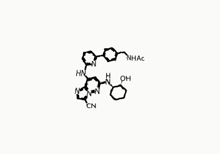 CC(=O)NCc1ccc(-c2cccc(Nc3cc(N[C@@H]4CCCC[C@H]4O)nn4c(C#N)cnc34)n2)cc1